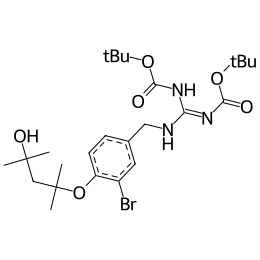 CC(C)(O)CC(C)(C)Oc1ccc(CNC(=NC(=O)OC(C)(C)C)NC(=O)OC(C)(C)C)cc1Br